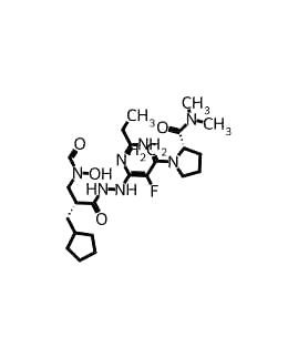 C=C(/C(F)=C(\N=C(/N)CC)NNC(=O)[C@H](CC1CCCC1)CN(O)C=O)N1CCC[C@H]1C(=O)N(C)C